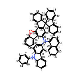 c1ccc(-n2c3ccccc3c3cc(N(c4cccc5ccccc45)c4cc5c(c6oc7ccccc7c46)-c4ccccc4C54c5ccccc5-c5ccccc54)ccc32)cc1